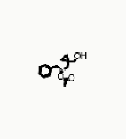 CC(=O)ON(Cc1ccccc1)CC1(CO)CC1